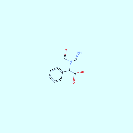 N=CN(C=O)C(C(=O)O)c1ccccc1